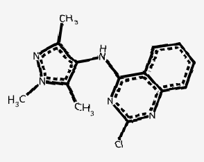 Cc1nn(C)c(C)c1Nc1nc(Cl)nc2ccccc12